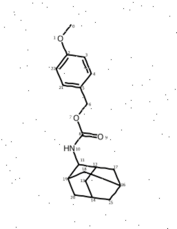 COc1ccc(COC(=O)NC2C3CC4CC(C3)CC2C4)cc1